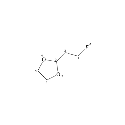 FCCC1OCCO1